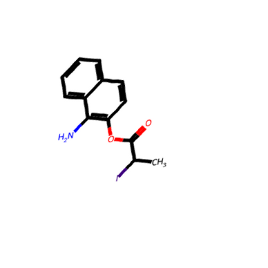 CC(I)C(=O)Oc1ccc2ccccc2c1N